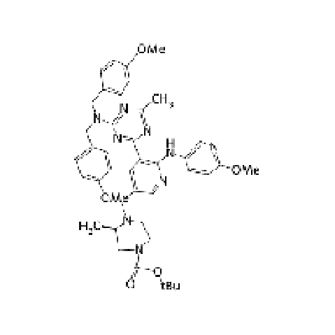 COc1ccc(CN(Cc2ccc(OC)cc2)c2nc(C)nc(-c3cc(CN4CCN(C(=O)OC(C)(C)C)C[C@H]4C)cnc3Nc3ccc(OC)nc3)n2)cc1